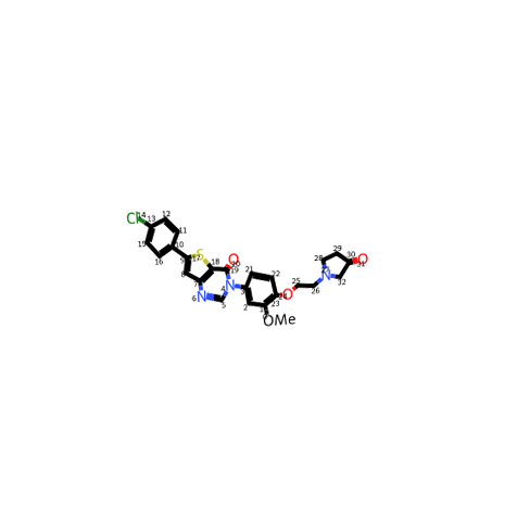 COc1cc(-n2cnc3cc(-c4ccc(Cl)cc4)sc3c2=O)ccc1OCCN1CCC(=O)C1